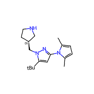 Cc1ccc(C)n1-c1cc(C(C)(C)C)n(C[C@H]2CCNC2)n1